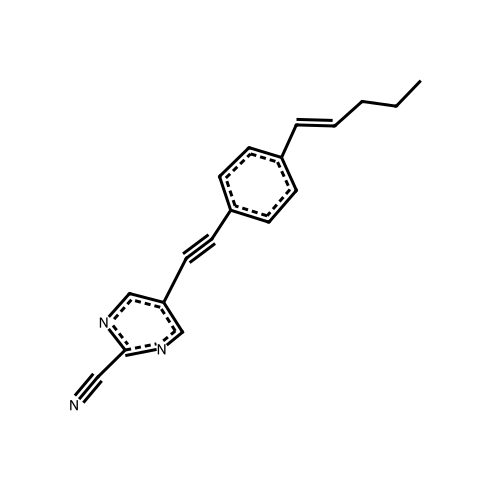 CCCC=Cc1ccc(C#Cc2cnc(C#N)nc2)cc1